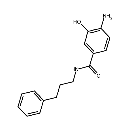 Nc1ccc(C(=O)NCCCc2ccccc2)cc1O